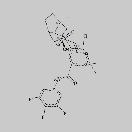 CC(C)(C)O/N=C/[C@]1(O)CC2CC[C@@H](C1)C2S(=O)(=O)c1cc(C(=O)Nc2cc(F)c(F)c(F)c2)ccc1Cl